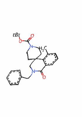 Cc1cccc2c1C1(CCN(C(=O)OC(C)(C)C)CC1)CN(Cc1ccccc1)C2=O